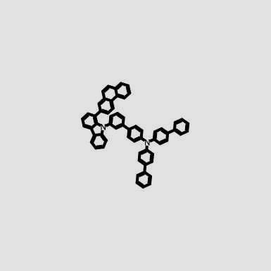 c1ccc(-c2ccc(N(c3ccc(-c4ccccc4)cc3)c3ccc(-c4cccc(-n5c6ccccc6c6cccc(-c7ccc8c(ccc9ccccc98)c7)c65)c4)cc3)cc2)cc1